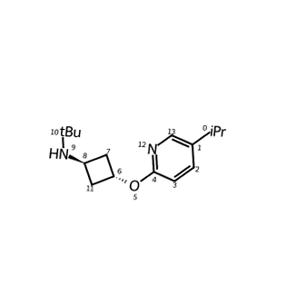 CC(C)c1ccc(O[C@H]2C[C@H](NC(C)(C)C)C2)nc1